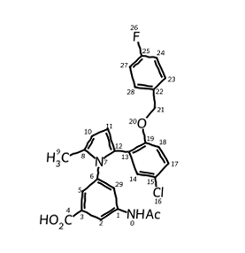 CC(=O)Nc1cc(C(=O)O)cc(-n2c(C)ccc2-c2cc(Cl)ccc2OCc2ccc(F)cc2)c1